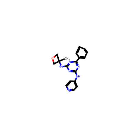 CC1(Nc2nc(Nc3ccncc3)nc(-c3ccccc3)n2)COC1